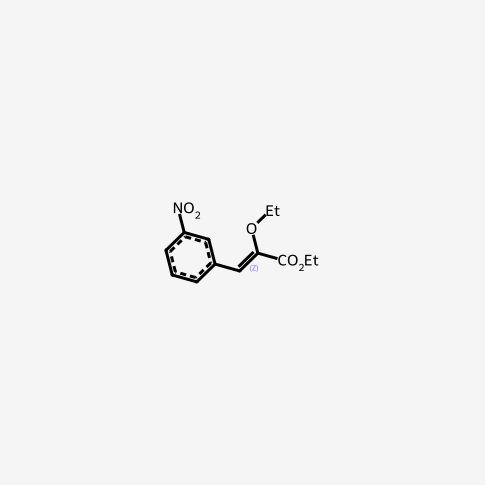 CCOC(=O)/C(=C/c1cccc([N+](=O)[O-])c1)OCC